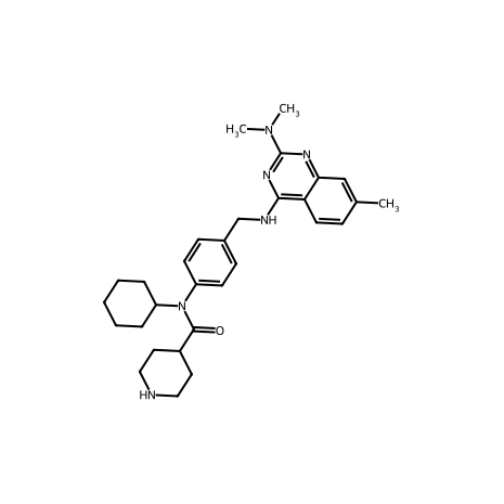 Cc1ccc2c(NCc3ccc(N(C(=O)C4CCNCC4)C4CCCCC4)cc3)nc(N(C)C)nc2c1